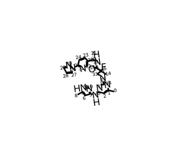 Cc1cc(Nc2cc(C)[nH]n2)nc(N2CC(F)(C(=O)N[C@@H](C)c3ccc(-n4cccn4)nc3)C2)n1